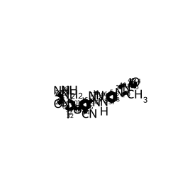 CC1CN(c2ccc(Nc3ncnc(-c4ccc(OC5CCN(C(=O)/C(=C/N)NN)CC5F)c(C#N)c4)n3)cc2)CCN1C1COC1